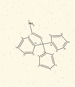 PC=CC(c1ccccc1)(c1ccccc1)c1ccccc1